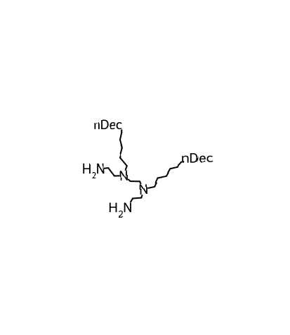 CCCCCCCCCCCCCCCN(CCN)CCN(CCN)CCCCCCCCCCCCCCC